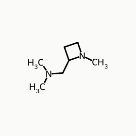 CN(C)CC1CCN1C